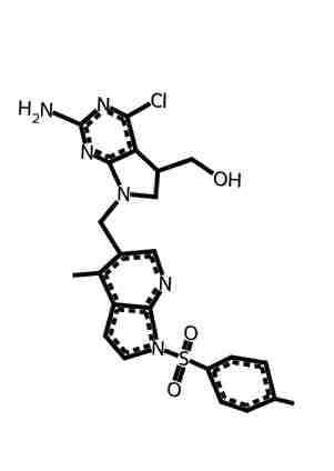 Cc1ccc(S(=O)(=O)n2ccc3c(C)c(CN4CC(CO)c5c(Cl)nc(N)nc54)cnc32)cc1